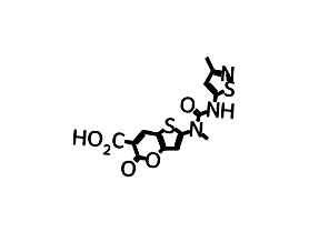 Cc1cc(NC(=O)N(C)c2cc3oc(=O)c(C(=O)O)cc3s2)sn1